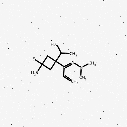 BC1(F)CC(/C(C=C)=N/N(C)C)(C(C)C)C1